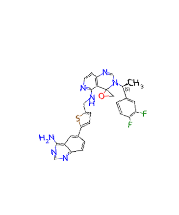 C[C@@H](c1ccc(F)c(F)c1)N1C=Nc2ccnc(NCc3ccc(-c4ccc5ncnc(N)c5c4)s3)c2C12CO2